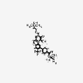 CC1C(=O)N(COCC[Si](C)(C)C)N=C2COc3cc(C(F)(F)F)c(C4CCN(C(=O)OC(C)(C)C)CC4)cc3N21